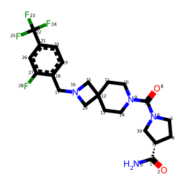 NC(=O)[C@H]1CCN(C(=O)N2CCC3(CC2)CN(Cc2ccc(C(F)(F)F)cc2F)C3)C1